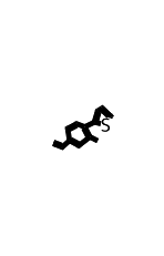 C=Cc1ccc(-c2cccs2)c(C)c1